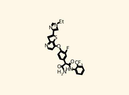 CCn1cnc(-c2cc3nccc(Oc4ccc(C(C(N)=O)C(=O)Nc5ccccc5C(F)(F)F)cc4F)c3s2)c1